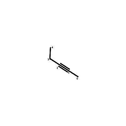 CC#C[CH]C